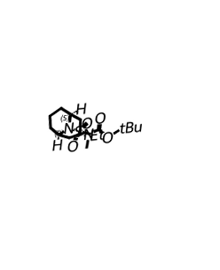 CCS(=O)(=O)N1[C@@H]2CCC[C@H]1C[C@H](N(C)C(=O)OC(C)(C)C)C2